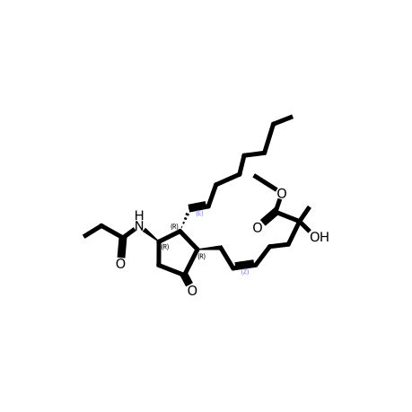 CCCCCC/C=C/[C@H]1[C@H](NC(=O)CC)CC(=O)[C@@H]1C/C=C\CCC(C)(O)C(=O)OC